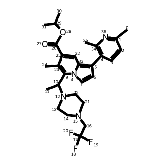 Cc1ccc(-c2ccn3c(C(C)N4CCN(CC(F)(F)F)CC4)c(C)c(C(=O)OC(C)C)cc23)c(C)n1